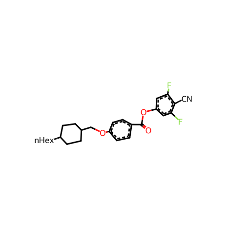 CCCCCCC1CCC(COc2ccc(C(=O)Oc3cc(F)c(C#N)c(F)c3)cc2)CC1